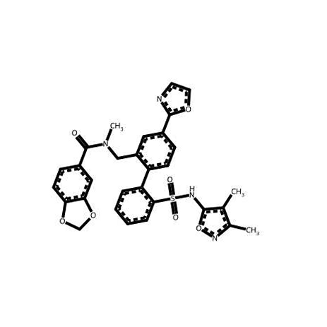 Cc1noc(NS(=O)(=O)c2ccccc2-c2ccc(-c3ncco3)cc2CN(C)C(=O)c2ccc3c(c2)OCO3)c1C